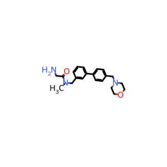 CN(Cc1cccc(-c2ccc(CN3CCOCC3)cc2)c1)C(=O)CN